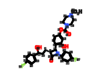 O=C(Oc1ccc([C@@H]2[C@@H](CC[C@H](O)c3ccc(F)cc3)C(=O)N2c2ccc(F)cc2)c(O)c1)N1CCN(S(=O)(=O)O)CC1